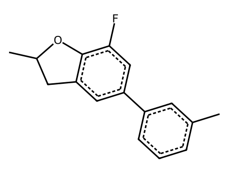 Cc1cccc(-c2cc(F)c3c(c2)CC(C)O3)c1